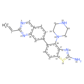 C=Cc1ncc2ccc(-c3ccc4sc(N)nc4c3N3CCNCC3)cc2n1